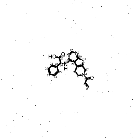 C=CC(=O)N1CCc2c(sc3ncnc(N[C@H](C(=O)O)c4ccccc4)c23)C1